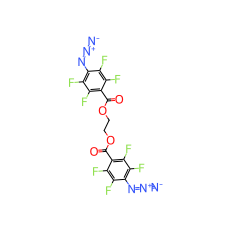 [N-]=[N+]=Nc1c(F)c(F)c(C(=O)OCCOC(=O)c2c(F)c(F)c(N=[N+]=[N-])c(F)c2F)c(F)c1F